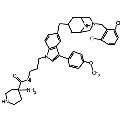 NC1(C(=O)NCCCn2cc(-c3ccc(OC(F)(F)F)cc3)c3cc(CC4CC5CN(Cc6c(Cl)cccc6Cl)CC(C4)N5)ccc32)CCNCC1